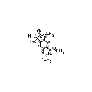 COc1nc(C)nc2cc3c(cc12)N(C)C(=O)C3(C)O